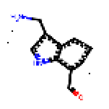 NCc1c[nH]c2c(C=O)cccc12